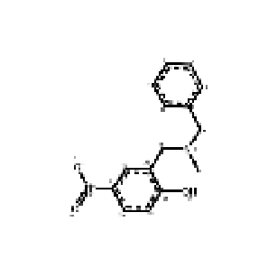 CN(Cc1ccccc1)Cc1cc([N+](=O)[O-])ccc1O